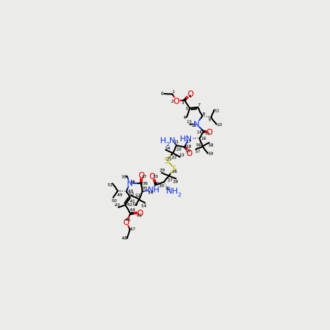 CCOC(=O)/C(C)=C/[C@H](C(C)C)N(C)C(=O)[C@@H](NC(=O)C(N)C(C)(C)SSC(C)(C)[C@H](N)C(=O)N[C@H](C(=O)N(C)[C@H](/C=C(\C)C(=O)OCC)C(C)C)C(C)(C)C)C(C)(C)C